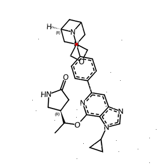 CC(Oc1nc(-c2ccc(N3CC4C[C@H](C3)N4C3COC3)cc2)cc2ncn(C3CC3)c12)[C@H]1CNC(=O)C1